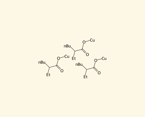 CCCCC(CC)C(=O)[O][Cu].CCCCC(CC)C(=O)[O][Cu].CCCCC(CC)C(=O)[O][Cu]